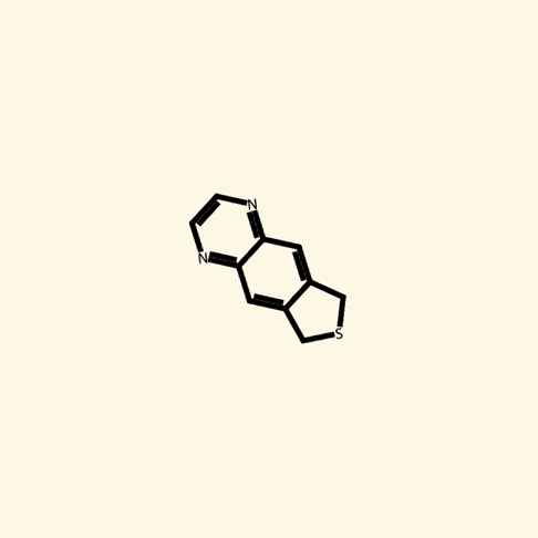 c1cnc2cc3c(cc2n1)CSC3